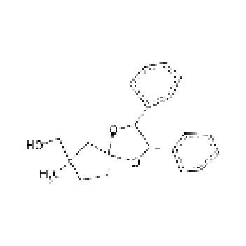 CC1(CO)CCC2(C1)OC(c1ccccc1)[C@H](c1ccccc1)O2